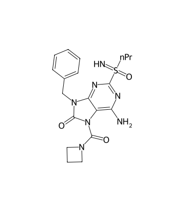 CCCS(=N)(=O)c1nc(N)c2c(n1)n(Cc1ccccc1)c(=O)n2C(=O)N1CCC1